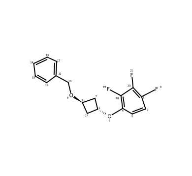 Fc1ccc(O[C@H]2C[C@H](OCc3ccccc3)C2)c(F)c1F